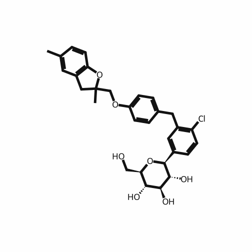 Cc1ccc2c(c1)CC(C)(COc1ccc(Cc3cc([C@@H]4O[C@H](CO)[C@@H](O)[C@H](O)[C@H]4O)ccc3Cl)cc1)O2